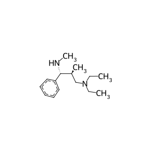 CCN(CC)C[C@H](C)[C@@H](NC)c1ccccc1